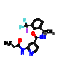 CCC(=O)Nc1cc(C(=O)N[C@H](C)c2cccc(C(F)(F)I)c2)ccn1